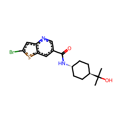 CC(C)(O)[C@H]1CC[C@H](NC(=O)c2cnc3cc(Br)sc3c2)CC1